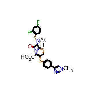 CC(=O)N(Sc1ccc(F)cc1F)[C@@H]1C(=O)N2C(C(=O)O)=C(Sc3ccc(-c4cn(C)cn4)cc3)CS[C@@H]12